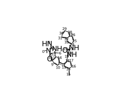 CN1C(=N)NC(C)(c2cccc(-c3cc(I)ccc3CNC(=O)Nc3ccc4ccccc4c3)c2)C1=O